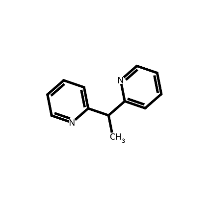 CC(c1ccccn1)c1ccccn1